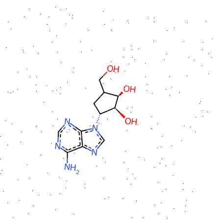 Nc1ncnc2c1ncn2[C@@H]1CC(CO)[C@@H](O)[C@H]1O